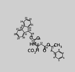 CC(Cc1ccccc1)OC(=O)C[C@H](NC(=O)OCC1c2ccccc2-c2ccccc21)C(=O)O